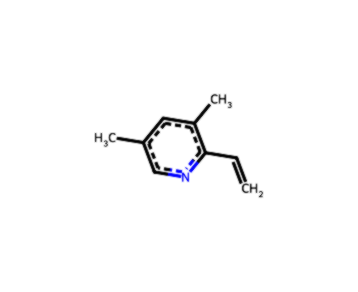 C=Cc1ncc(C)cc1C